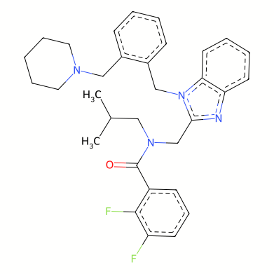 CC(C)CN(Cc1nc2ccccc2n1Cc1ccccc1CN1CCCCC1)C(=O)c1cccc(F)c1F